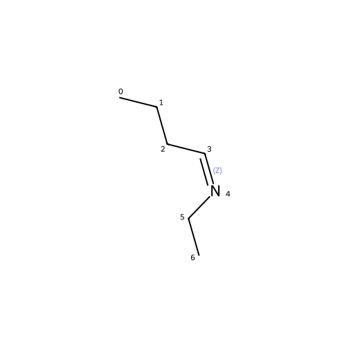 CCC/C=N\CC